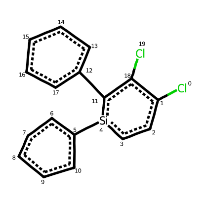 Clc1cc[si](-c2ccccc2)c(-c2ccccc2)c1Cl